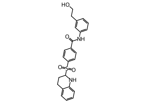 O=C(Nc1cccc(CCO)c1)c1ccc(S(=O)(=O)C2CCc3ccccc3N2)cc1